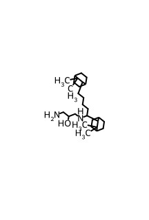 CC1(C)C2CCC(CC2)C1CCCCC(NCC(O)CN)C1C2CCC(CC2)C1(C)C